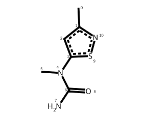 Cc1cc(N(C)C(N)=O)sn1